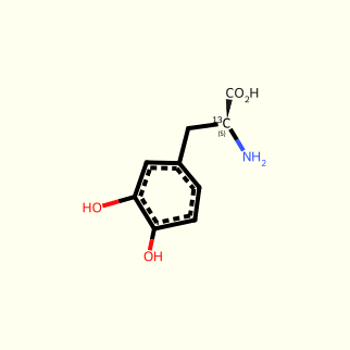 N[13C@@H](Cc1ccc(O)c(O)c1)[13C](=O)O